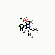 COCc1c(C(C)C)nc(C(C)C)c(C)c1-c1ccc(F)cc1